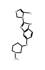 CN1CCCC(Oc2ccc3[nH]c(N4[CH]OC=C4N)nc3c2)C1